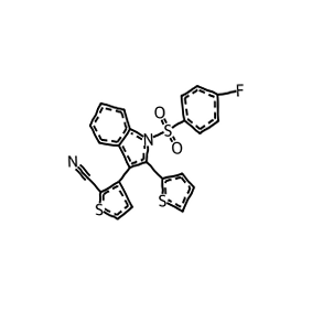 N#Cc1sccc1-c1c(-c2cccs2)n(S(=O)(=O)c2ccc(F)cc2)c2ccccc12